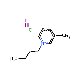 CCCC[n+]1cccc(C)c1.Cl.I.[I-]